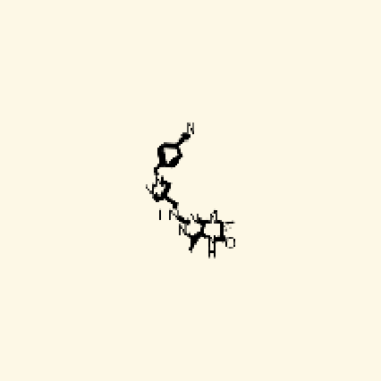 Cc1nc(NCc2cnn(Cc3ccc(C#N)cc3)c2)nc2c1NC(=O)[C@H](C)N2C